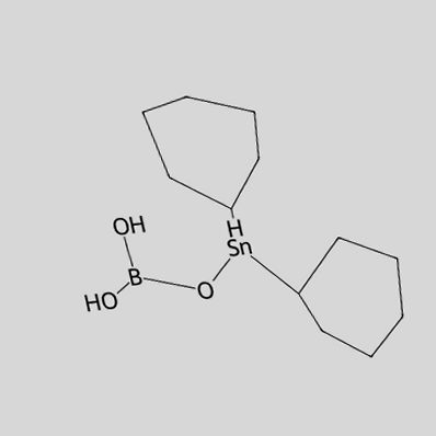 OB(O)[O][SnH]([CH]1CCCCC1)[CH]1CCCCC1